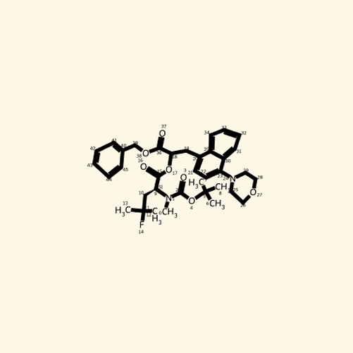 CN(C(=O)OC(C)(C)C)[C@@H](CC(C)(C)F)C(=O)OC(Cc1ccc(N2CCOCC2)c2ccccc12)C(=O)OCc1ccccc1